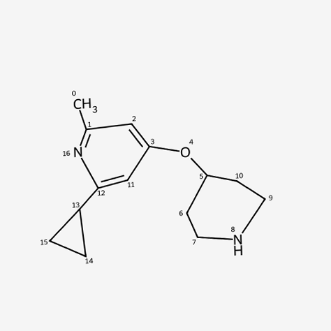 Cc1cc(OC2CCNCC2)cc(C2CC2)n1